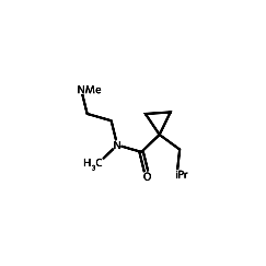 CNCCN(C)C(=O)C1(CC(C)C)CC1